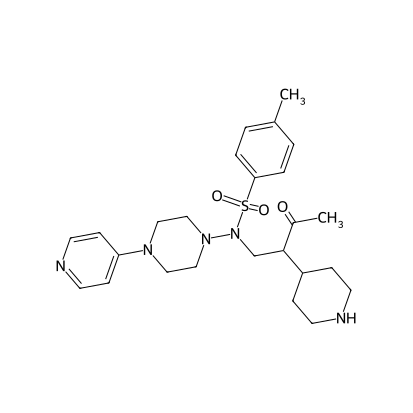 CC(=O)C(CN(N1CCN(c2ccncc2)CC1)S(=O)(=O)c1ccc(C)cc1)C1CCNCC1